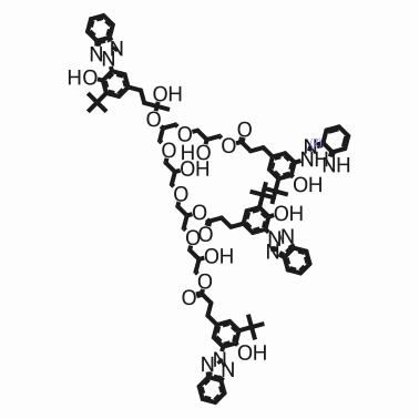 CC(O)(CCc1cc(-n2nc3ccccc3n2)c(O)c(C(C)(C)C)c1)OC(COCC(O)COCC(COCC(O)COC(=O)CCc1cc(-n2nc3ccccc3n2)c(O)c(C(C)(C)C)c1)OC(=O)CCc1cc(-n2nc3ccccc3n2)c(O)c(C(C)(C)C)c1)COCC(O)COC(=O)CCc1cc(N/N=C2/C=CC=CC2=N)c(O)c(C(C)(C)C)c1